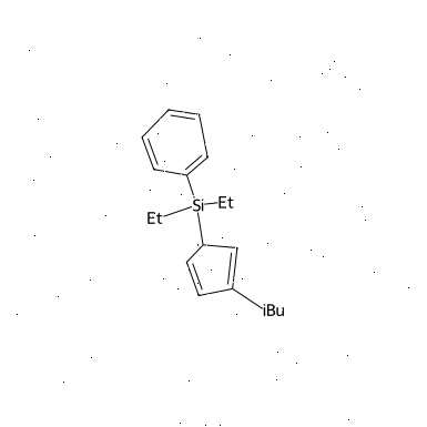 CCC(C)C1=C[C]([Si](CC)(CC)c2ccccc2)C=C1